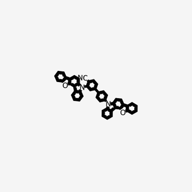 N#Cc1ccc(-c2ccc(-n3c4ccccc4c4c5oc6ccccc6c5ccc43)cc2)cc1-n1c2ccccc2c2c3oc4ccccc4c3ccc21